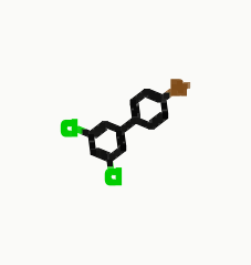 Clc1cc(Cl)cc(-c2ccc(Br)cc2)c1